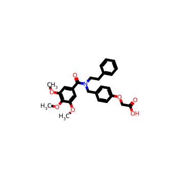 COc1cc(C(=O)N(CCc2ccccc2)Cc2ccc(OCC(=O)O)cc2)cc(OC)c1OC